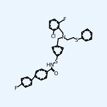 O=C(NSc1ccc(CN(CCSc2ccccc2)Cc2c(F)cccc2Cl)cc1)c1ccc(-c2ccc(F)cc2)cc1